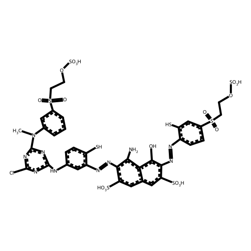 CN(c1cccc(S(=O)(=O)CCOS(=O)(=O)O)c1)c1nc(Cl)nc(Nc2ccc(S)c(/N=N/c3c(S(=O)(=O)O)cc4cc(S(=O)(=O)O)c(/N=N/c5ccc(S(=O)(=O)CCOS(=O)(=O)O)cc5S)c(O)c4c3N)c2)n1